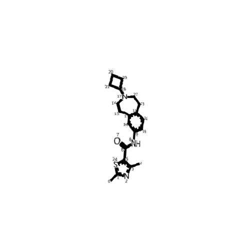 Cc1nc(C)c(C(=O)Nc2ccc3c(c2)CCN(C2CCC2)CC3)s1